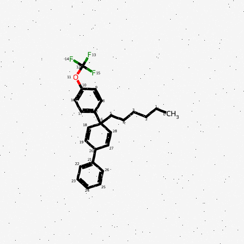 CCCCCCC1(c2ccc(OC(F)(F)F)cc2)C=CC(c2ccccc2)C=C1